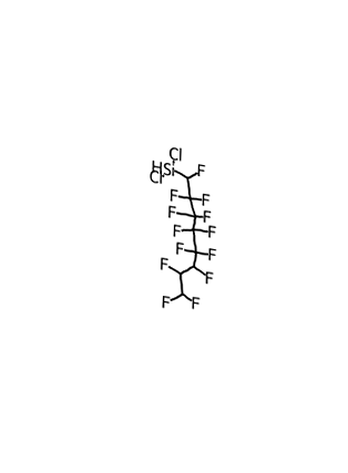 FC(F)C(F)C(F)C(F)(F)C(F)(F)C(F)(F)C(F)(F)C(F)[SiH](Cl)Cl